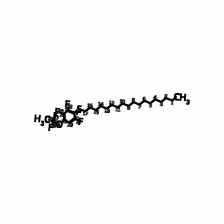 CCCCCCCCCCCCCCCCCCSc1c(F)cc(OC(C)(F)F)c(F)c1F